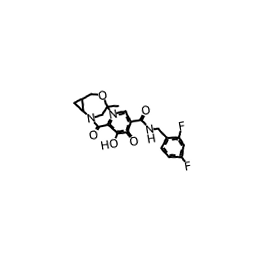 CC12CN(C(=O)c3c(O)c(=O)c(C(=O)NCc4ccc(F)cc4F)cn31)C1CC1CO2